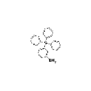 Bc1cccc([Si](c2ccccc2)(c2ccccc2)c2ccccc2)c1